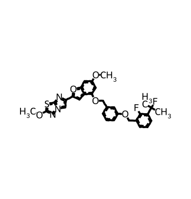 COc1cc(OCc2cccc(OCc3cccc(C(C)(C)F)c3F)c2)c2cc(-c3cn4nc(OC)sc4n3)oc2c1